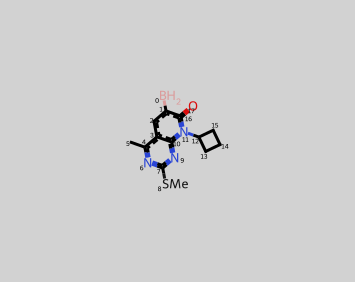 Bc1cc2c(C)nc(SC)nc2n(C2CCC2)c1=O